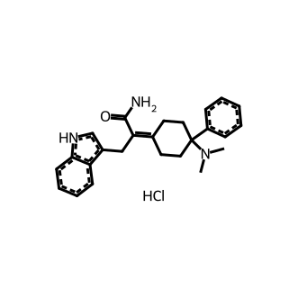 CN(C)C1(c2ccccc2)CCC(=C(Cc2c[nH]c3ccccc23)C(N)=O)CC1.Cl